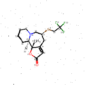 C[C@]12OC(=O)C=C1C[C@H](SCC(F)(F)F)CN1CCCC[C@@H]12